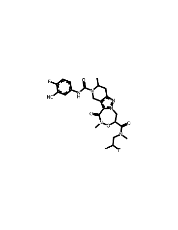 CC1Cc2nn3c(c2CN1C(=O)Nc1ccc(F)c(C#N)c1)C(=O)N(C)OC(C(=O)N(C)CC(F)F)C3